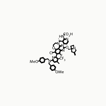 C=C1CN2CC[C@@]2(COc2nc3c4c(c(Cl)c(-c5nc(N(Cc6ccc(OC)cc6)Cc6ccc(OC)cc6)cc(C)c5C(F)(F)F)c(F)c4n2)OCCN3[C@H](C)c2cccnc2NC(=O)O)C1